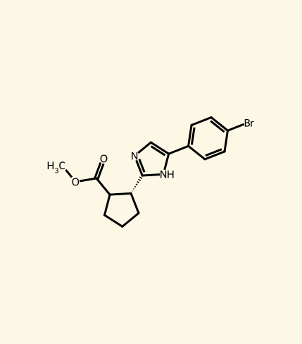 COC(=O)C1CCC[C@H]1c1ncc(-c2ccc(Br)cc2)[nH]1